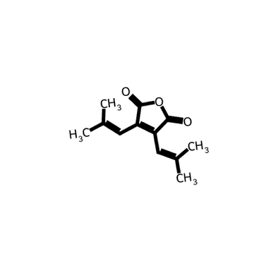 CC(C)=CC1=C(C=C(C)C)C(=O)OC1=O